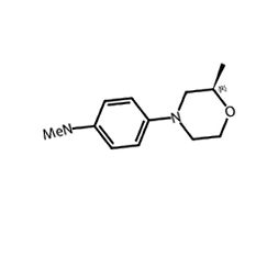 CNc1ccc(N2CCO[C@H](C)C2)cc1